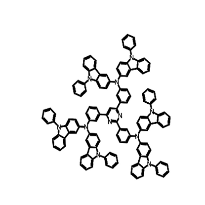 c1ccc(-n2c3ccccc3c3cc(N(c4cccc(-c5cc(-c6cccc(N(c7ccc8c(c7)c7ccccc7n8-c7ccccc7)c7ccc8c(c7)c7ccccc7n8-c7ccccc7)c6)nc(-c6cccc(N(c7ccc8c(c7)c7ccccc7n8-c7ccccc7)c7ccc8c(c7)c7ccccc7n8-c7ccccc7)c6)n5)c4)c4ccc5c(c4)c4ccccc4n5-c4ccccc4)ccc32)cc1